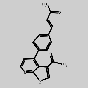 CC(=O)/C=C/c1ccc(-c2ccnc3[nH]cc(C(C)=O)c23)cc1